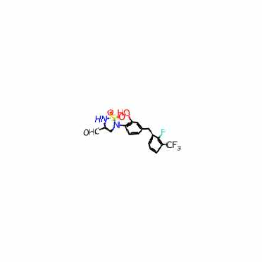 O=CC1CN(c2ccc(Cc3cccc(C(F)(F)F)c3F)cc2O)S(=O)(=O)N1